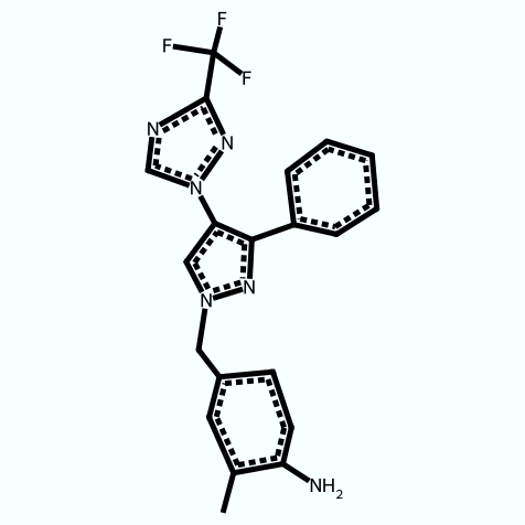 Cc1cc(Cn2cc(-n3cnc(C(F)(F)F)n3)c(-c3ccccc3)n2)ccc1N